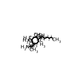 CCCCCCC(C)(C)C1CCC(CC(C)(C)N)CC(C)(C)CC1(C)C